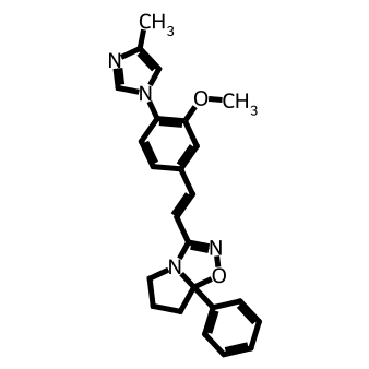 COc1cc(/C=C/C2=NOC3(c4ccccc4)CCCN23)ccc1-n1cnc(C)c1